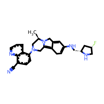 C[C@@H]1CN(c2ccc(C#N)c3ncccc23)CC2=C3CC=C(NC[C@@H]4C[C@H](F)CN4)C=C3CN21